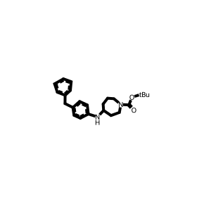 CC(C)(C)OC(=O)N1CCCC(Nc2ccc(Cc3ccccc3)cc2)CC1